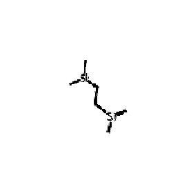 C[Si](C)CC[Si](C)C